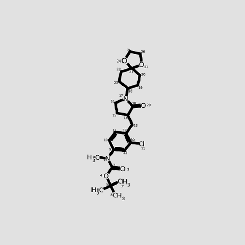 CN(C(=O)OC(C)(C)C)c1ccc(CC2CCN(C3CCC4(CC3)OCCO4)C2=O)c(Cl)c1